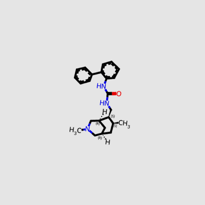 C[C@H]1C[C@@H]2C[C@@H](CN(C)C2)[C@H]1CNC(=O)Nc1ccccc1-c1ccccc1